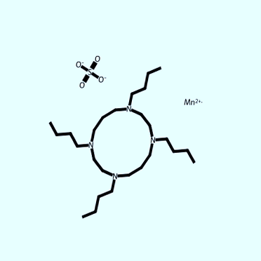 CCCCN1CCCN(CCCC)CCN(CCCC)CCCN(CCCC)CC1.O=S(=O)([O-])[O-].[Mn+2]